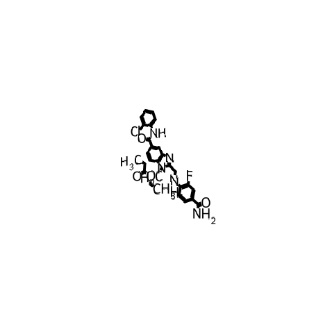 CCOC(=O)CC.Cn1c(CNc2ccc(C(N)=O)cc2F)nc2cc(C(=O)Nc3ccccc3Cl)ccc21